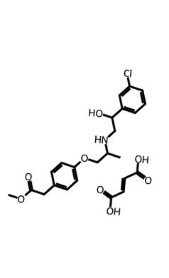 COC(=O)Cc1ccc(OCC(C)NCC(O)c2cccc(Cl)c2)cc1.O=C(O)C=CC(=O)O